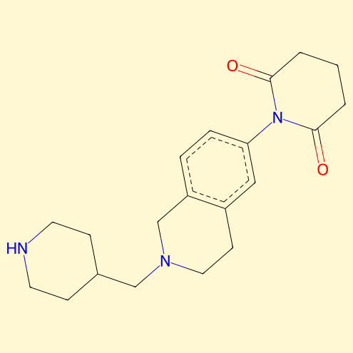 O=C1CCCC(=O)N1c1ccc2c(c1)CCN(CC1CCNCC1)C2